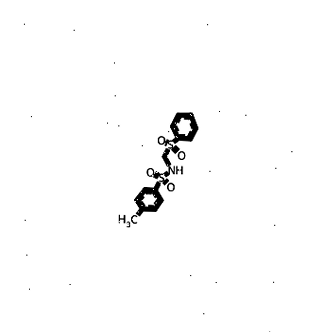 Cc1ccc(S(=O)(=O)NCS(=O)(=O)c2ccccc2)cc1